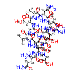 CC(C)[C@H](NC(=O)[C@H](CC(=O)O)NC(=O)CNC(=O)[C@@H](NC(=O)[C@@H](NC(=O)[C@H](C)NC(=O)[C@@H](N)CCC(N)=O)[C@@H](C)O)C(C)C)C(=O)N[C@@H](CC(N)=O)C(=O)N[C@H](C(=O)N[C@@H](CC(=O)O)C(=O)N[C@@H](CCCNC(=N)N)C(=O)N1CCC[C@H]1C(=O)NCC(=O)O)[C@@H](C)O